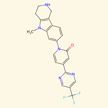 Cn1c2c(c3ccc(-n4ccc(-c5ncc(C(F)(F)F)cn5)cc4=O)cc31)CNCC2